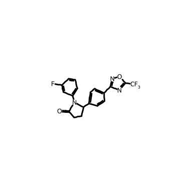 O=C1CCC(c2ccc(-c3noc(C(F)(F)F)n3)cc2)N1c1cccc(F)c1